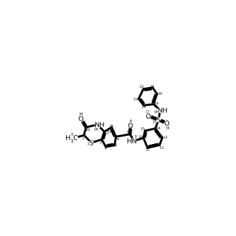 CC1Sc2ccc(C(=O)Nc3cccc(S(=O)(=O)Nc4ccccc4)c3)cc2NC1=O